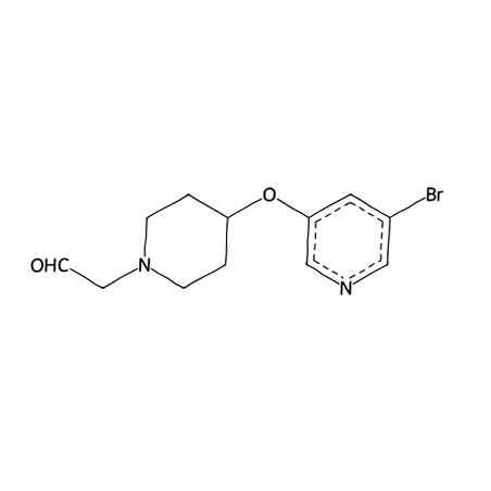 O=CCN1CCC(Oc2cncc(Br)c2)CC1